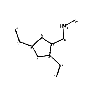 CCC1CC(CC)C(CNC)C1